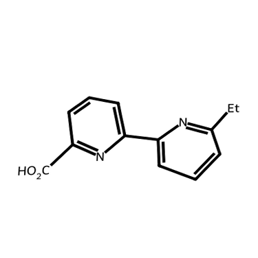 CCc1cccc(-c2cccc(C(=O)O)n2)n1